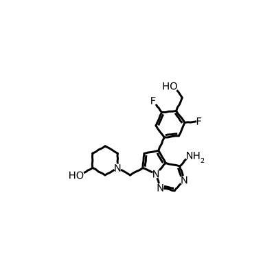 Nc1ncnn2c(CN3CCCC(O)C3)cc(-c3cc(F)c(CO)c(F)c3)c12